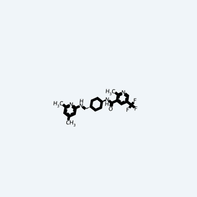 Cc1cc(C)nc(NC[C@H]2CC[C@H](NC(=O)c3cc(C(F)(F)F)cnc3C)CC2)c1